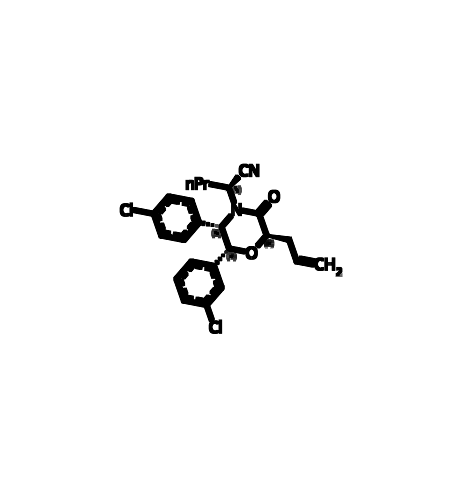 C=CC[C@H]1O[C@H](c2cccc(Cl)c2)[C@H](c2ccc(Cl)cc2)N([C@H](C#N)CCC)C1=O